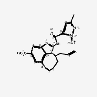 C=CCC1CCCOc2cc(C(=O)O)cc3nc(NC(=O)c4cc(C)nn4CC)n1c23